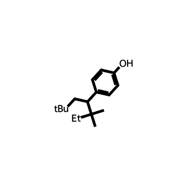 CCC(C)(C)C(CC(C)(C)C)c1ccc(O)cc1